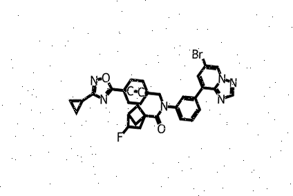 O=C(N(CC12CCC(c3nc(C4CC4)no3)(CC1)CC2)c1cccc(-c2cc(Br)cn3ncnc23)c1)C12CC(F)C(C1)C2